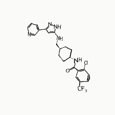 O=C(N[C@H]1CC[C@H](CNc2cc(-c3cccnc3)n[nH]2)CC1)c1cc(C(F)(F)F)ccc1Cl